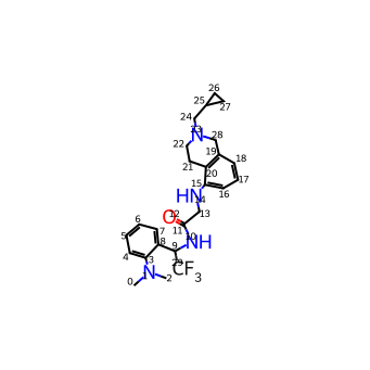 CN(C)c1ccccc1C(NC(=O)CNc1cccc2c1CCN(CC1CC1)C2)C(F)(F)F